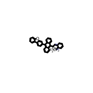 C=C(/C=c1/cccc/c1=C/C)c1c2ccccc2c(-c2ccc3c(c2)oc2ccccc23)c2ccccc12